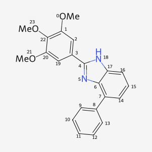 COc1cc(-c2nc3c(-c4ccccc4)cccc3[nH]2)cc(OC)c1OC